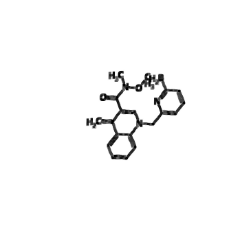 Bc1cccc(CN2C=C(C(=O)N(C)OC)C(=C)c3ccccc32)n1